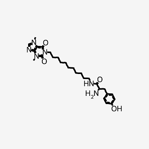 Cn1cnc2c1c(=O)n(CCCCCCCCCCCNC(=O)C(N)Cc1ccc(O)cc1)c(=O)n2C